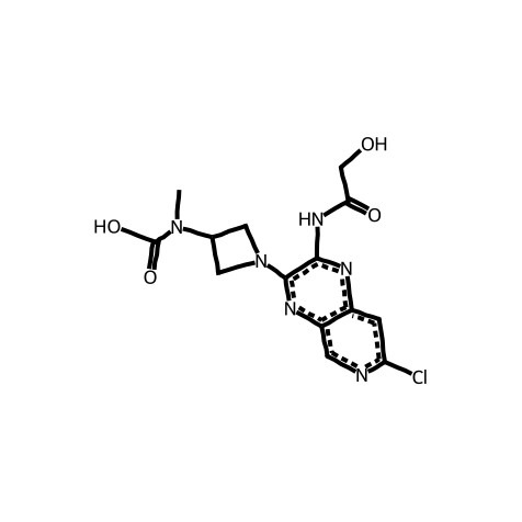 CN(C(=O)O)C1CN(c2nc3cnc(Cl)cc3nc2NC(=O)CO)C1